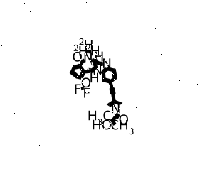 [2H]C([2H])([2H])N1C(=O)c2cccc(OC(F)F)c2[C@H]2C[C@@H]1c1nc3ccc(C#CC4CN(C(=O)C(C)(C)O)C4)cc3n12